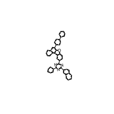 c1ccc(-c2ccc(-c3cc4ccccc4c4c3oc3ccc(-c5nc(-c6ccccc6)nc(-c6ccc7ccccc7c6)n5)cc34)cc2)cc1